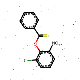 O=[N+]([O-])c1cccc(Cl)c1OC(=S)c1ccccc1